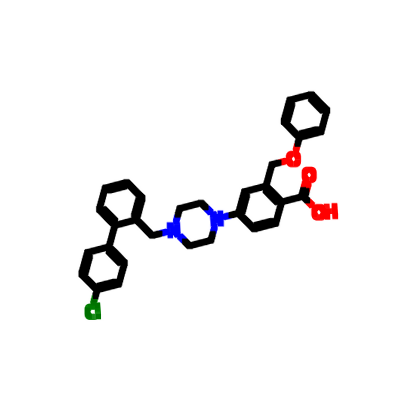 O=C(O)c1ccc(N2CCN(Cc3ccccc3-c3ccc(Cl)cc3)CC2)cc1COc1ccccc1